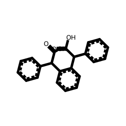 O=C(O)C(c1ccccc1)c1ccccc1C(C(=O)O)c1ccccc1